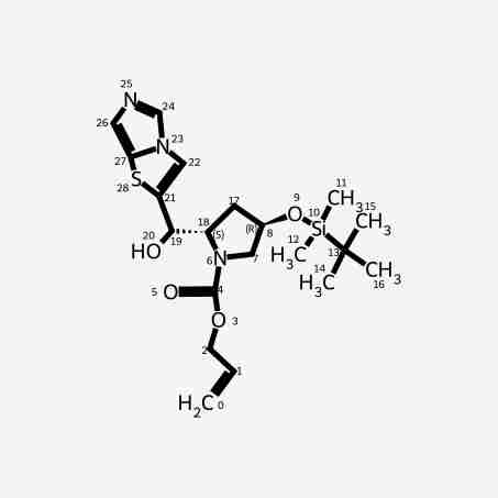 C=CCOC(=O)N1C[C@H](O[Si](C)(C)C(C)(C)C)C[C@H]1C(O)c1cn2cncc2s1